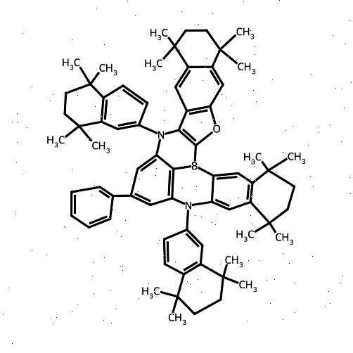 CC1(C)CCC(C)(C)c2cc(N3c4cc5c(cc4B4c6oc7cc8c(cc7c6N(c6ccc7c(c6)C(C)(C)CCC7(C)C)c6cc(-c7ccccc7)cc3c64)C(C)(C)CCC8(C)C)C(C)(C)CCC5(C)C)ccc21